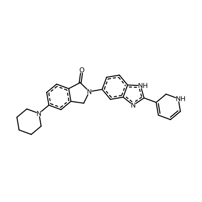 O=C1c2ccc(N3CCCCC3)cc2CN1c1ccc2[nH]c(C3=CC=CNC3)nc2c1